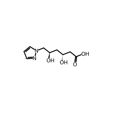 O=C(O)C[C@H](O)C[C@@H](O)Cn1cc[c]n1